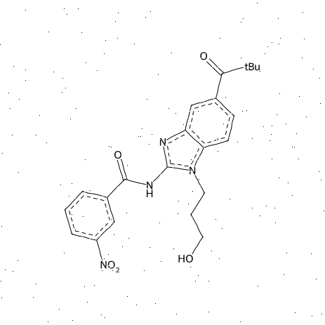 CC(C)(C)C(=O)c1ccc2c(c1)nc(NC(=O)c1cccc([N+](=O)[O-])c1)n2CCCO